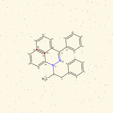 CC(Cc1ccccc1)N(N=C(c1ccccc1)c1ccccc1)c1ccccc1